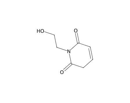 O=C1C=CCC(=O)N1CCO